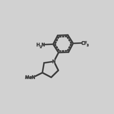 CNC1CCN(c2cc(C(F)(F)F)ccc2N)C1